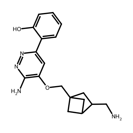 NCC1CC2(COc3cc(-c4ccccc4O)nnc3N)CC1C2